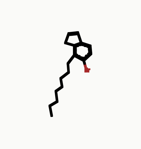 CCCCCCCCc1c(Br)ccc2c1CC=C2